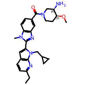 CCc1ccc2cc(-c3nc4cc(C(=O)N5CC[C@H](OC)[C@H](N)C5)ccc4n3C)n(CC3CC3)c2n1